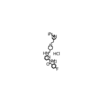 CC(C)n1cc(CCN2CCC(CNc3cccc(NC(=O)c4ccc(F)cc4Cl)n3)CC2)cn1.Cl